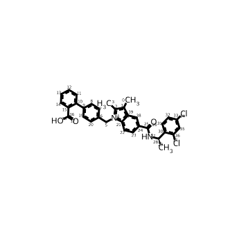 Cc1c(C)n(Cc2ccc(-c3ccccc3C(=O)O)cc2)c2ccc(C(=O)N[C@H](C)c3ccc(Cl)cc3Cl)cc12